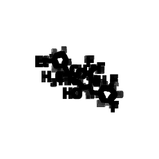 CCc1cccc(C(C)(C)NC[C@@H](O)[C@H](Cc2cc(F)cc(F)c2)NC(=O)C(F)F)c1